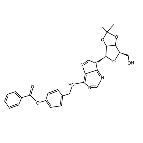 CC1(C)OC2C(O1)[C@@H](CO)O[C@H]2n1cnc2c(NCc3ccc(OC(=O)c4ccccc4)cc3)ncnc21